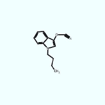 CCCCn1cc(OC#N)c2ccccc21